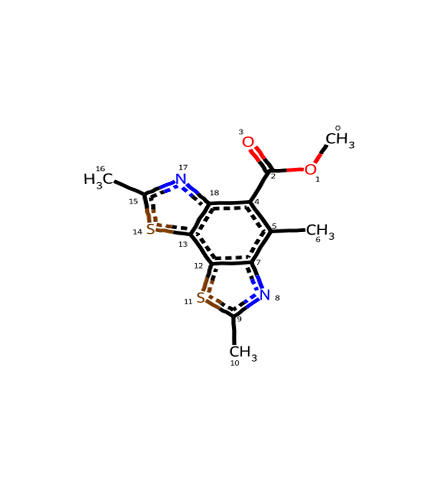 COC(=O)c1c(C)c2nc(C)sc2c2sc(C)nc12